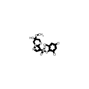 COC1(O)COc2c(S(=O)(=O)Oc3c(Cl)cc(Cl)cc3Cl)cnn2C1